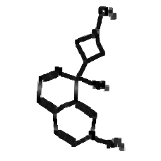 CN1CC(C2(N)N=CC=C3C=CN(N)C=C32)C1